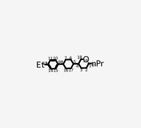 CCCC1CCC(C2CCC(c3ccc(CC)cc3)CC2)CO1